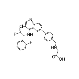 O=C(O)CNCc1ccc(-c2ccc3ncc(Cl)c(NC(c4ccccc4F)C(F)F)c3c2)cc1